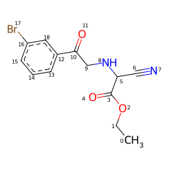 CCOC(=O)C(C#N)NCC(=O)c1cccc(Br)c1